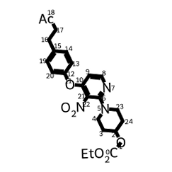 CCOC(=O)OC1CCN(c2nccc(Oc3ccc(CCC(C)=O)cc3)c2[N+](=O)[O-])CC1